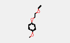 C=COCCOc1ccc(OC)cc1